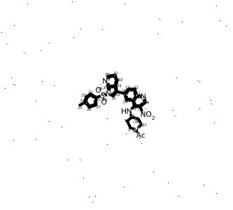 CC(=O)N1CCC(Nc2c([N+](=O)[O-])cnc3ccc(-c4cn(S(=O)(=O)c5ccc(C)cc5)c5ncccc45)cc23)CC1